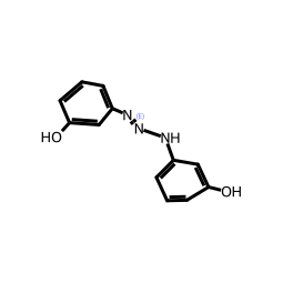 Oc1cccc(/N=N/Nc2cccc(O)c2)c1